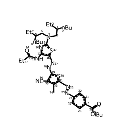 CCCCC(CC)CN(CC(CC)CCCC)c1nc(NC(=O)CC)c(N=Nc2sc(N=Nc3ccc(C(=O)OCC(C)C)cc3)c(C)c2C#N)s1